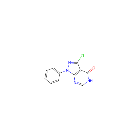 O=c1[nH]cnc2c1c(Cl)nn2-c1ccccc1